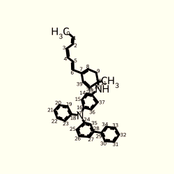 C\C=C/C=C\C=C\C1=CCC(C)(Nc2ccc(N(c3ccccc3)c3cccc(-c4ccccc4)c3)cc2)C=C1